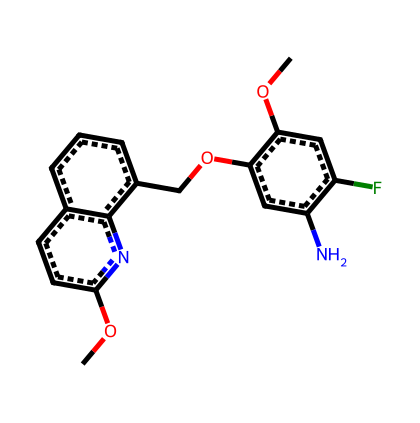 COc1ccc2cccc(COc3cc(N)c(F)cc3OC)c2n1